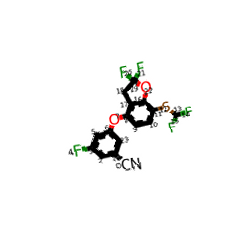 N#Cc1cc(F)cc(Oc2ccc(SC(F)F)c3c2CC(F)(F)O3)c1